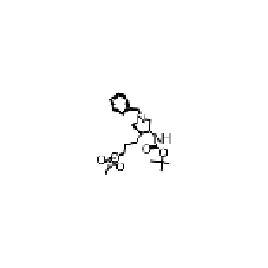 CC(C)(C)OC(=O)N[C@@H]1CN(Cc2ccccc2)C[C@@H]1CCCOS(C)(=O)=O